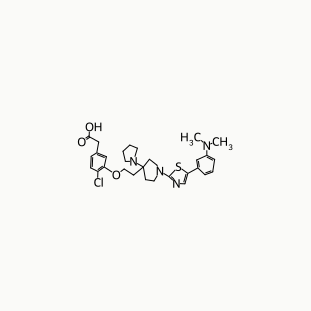 CN(C)c1cccc(-c2cnc(N3CCC(CCOc4cc(CC(=O)O)ccc4Cl)(N4CCCC4)CC3)s2)c1